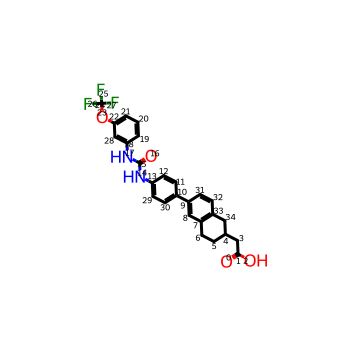 O=C(O)CC1CCc2cc(-c3ccc(NC(=O)Nc4cccc(OC(F)(F)F)c4)cc3)ccc2C1